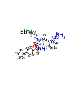 CCOC(=O)CCN(C(=O)[C@H](CC[C@@H]1CCCN(C=NN)C1)NS(=O)(=O)c1ccc(C2CCCC2)cc1)C1CC1.Cl